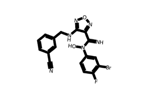 N#Cc1cccc(CNc2nonc2C(=N)N(O)c2ccc(F)c(Br)c2)c1